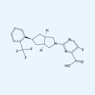 O=C(O)c1nc(N2C[C@H]3C[C@@H](c4ccccc4C(F)(F)F)C[C@H]3C2)ncc1F